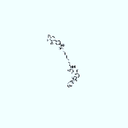 O=C(COc1c(F)ccc2sc(N3C4CCC3COC4)nc12)NCCCCCCCCCCC(=O)Nc1ccc(C2CCC(=O)NC2=O)cc1